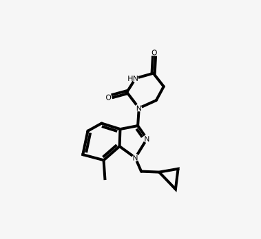 Cc1cccc2c(N3CCC(=O)NC3=O)nn(CC3CC3)c12